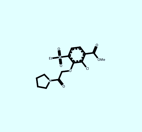 CCS(=O)(=O)c1ccc(C(=O)OC)c(Cl)c1OCC(=O)N1CCCC1